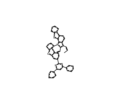 C=Cc1c(/C=C\C)c2ccc3c4ccccc4sc3c2n1-c1cccc2oc3cc(-c4nc(-c5ccccc5)cc(-c5ccccc5)n4)ccc3c12